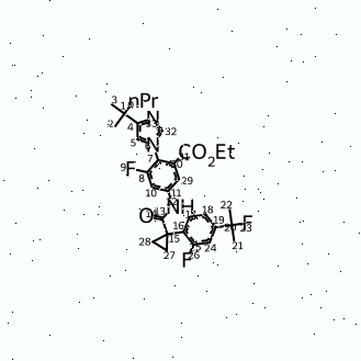 CCCC(C)(C)c1cn(-c2c(F)cc(NC(=O)C3(c4ccc(C(C)(C)F)cc4F)CC3)cc2C(=O)OCC)cn1